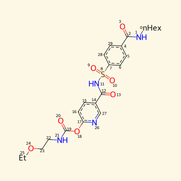 CCCCCCNC(=O)c1ccc(S(=O)(=O)NC(=O)c2ccc(OC(=O)NCCOCC)nc2)cc1